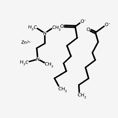 CCCCCCCC(=O)[O-].CCCCCCCC(=O)[O-].CN(C)CCN(C)C.[Zn+2]